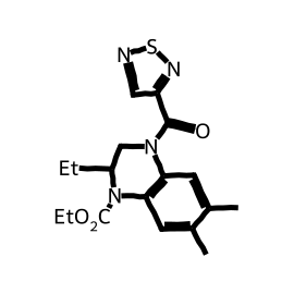 CCOC(=O)N1c2cc(C)c(C)cc2N(C(=O)c2cnsn2)CC1CC